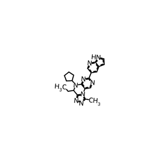 CCC1c2nnc(C)n2-c2cnc(-c3cnc4[nH]ccc4c3)nc2N1C1CCCC1